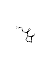 CCSCC(=O)N1CCSC1=S